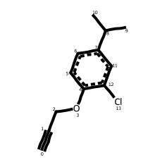 C#CCOc1ccc(C(C)C)cc1Cl